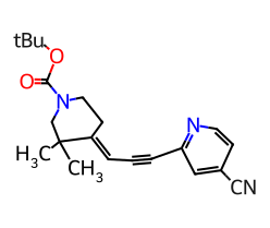 CC(C)(C)OC(=O)N1CC/C(=C\C#Cc2cc(C#N)ccn2)C(C)(C)C1